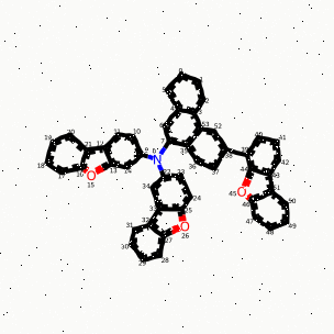 c1ccc2c(c1)cc(N(c1ccc3c(c1)oc1ccccc13)c1ccc3oc4ccccc4c3c1)c1ccc(-c3cccc4c3oc3ccccc34)cc12